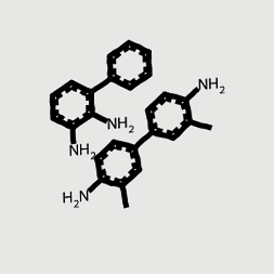 Cc1cc(-c2ccc(N)c(C)c2)ccc1N.Nc1cccc(-c2ccccc2)c1N